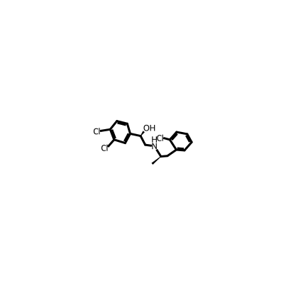 C[C@H](Cc1ccccc1Cl)NC[C@H](O)c1ccc(Cl)c(Cl)c1